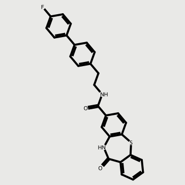 O=C(NCCc1ccc(-c2ccc(F)cc2)cc1)c1ccc2c(c1)NC(=O)c1ccccc1S2